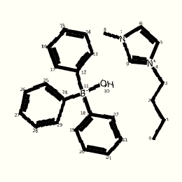 CCCC[n+]1ccn(C)c1.O[B-](c1ccccc1)(c1ccccc1)c1ccccc1